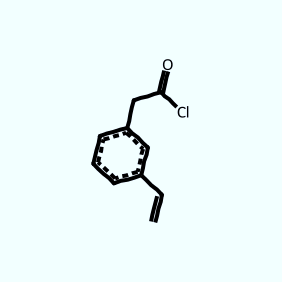 C=Cc1cccc(CC(=O)Cl)c1